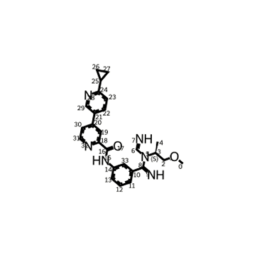 COC[C@H](C)N(C=N)C(=N)c1cccc(NC(=O)c2cc(-c3ccc(C4CC4)nc3)ccn2)c1